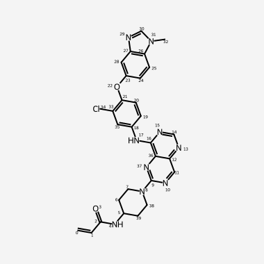 C=CC(=O)NC1CCN(c2ncc3ncnc(Nc4ccc(Oc5ccc6c(c5)ncn6C)c(Cl)c4)c3n2)CC1